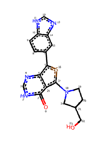 O=c1[nH]cnc2c(-c3ccc4[nH]cnc4c3)sc(N3CCC(CO)C3)c12